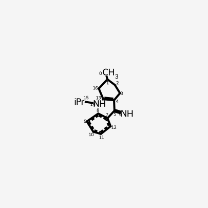 CC1CCC(C(=N)c2ccccc2)=C(NC(C)C)C1